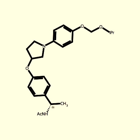 CC(=O)N[C@@H](C)c1ccc(OC2CCN(c3ccc(OCOC(C)C)cc3)C2)cc1